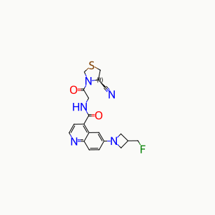 N#C[C@@H]1CSCN1C(=O)CNC(=O)c1ccnc2ccc(N3CC(CF)C3)cc12